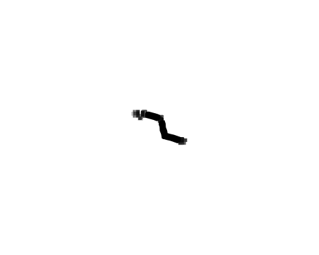 [CH2]SCBr